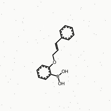 OB(O)c1ccccc1OC/C=C/c1ccccc1